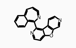 C1=CC=c2ccccc2=C(c2nccc3oc4cnccc4c23)N=1